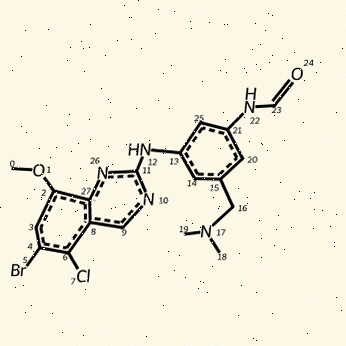 COc1cc(Br)c(Cl)c2cnc(Nc3cc(CN(C)C)cc(NC=O)c3)nc12